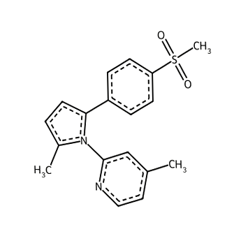 Cc1ccnc(-n2c(C)ccc2-c2ccc(S(C)(=O)=O)cc2)c1